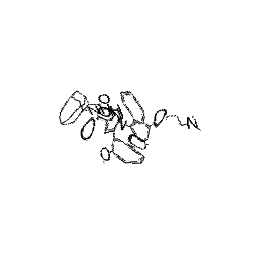 COc1cccc(OC)c1-c1cc(C(=O)NC23CC4CC(CC(C4)C2C(=O)O)C3)nn1-c1ccc(OCCCN(C)C)c2ccccc12